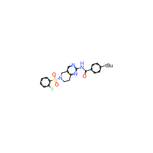 CC(C)(C)c1ccc(C(=O)Nc2ncc3c(n2)CCN(S(=O)(=O)c2ccccc2F)C3)cc1